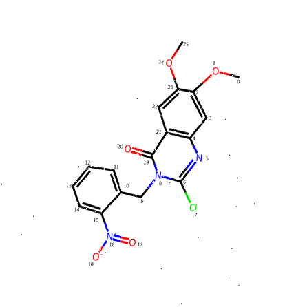 COc1cc2nc(Cl)n(Cc3ccccc3[N+](=O)[O-])c(=O)c2cc1OC